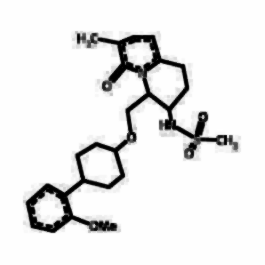 COc1ccccc1C1CCC(OCC2C(NS(C)(=O)=O)CCc3ccc(C)c(=O)n32)CC1